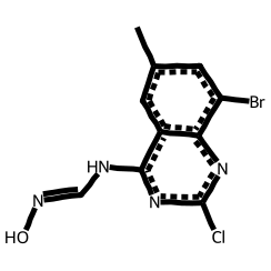 Cc1cc(Br)c2nc(Cl)nc(NC=NO)c2c1